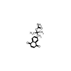 CC(C)(C)OC(N)=O.O=C1C=CC(=O)c2ccccc21